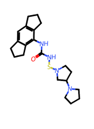 O=C(NSN1CCC(N2CCCC2)C1)Nc1c2c(cc3c1CCC3)CCC2